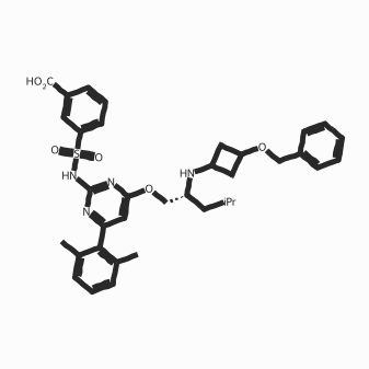 Cc1cccc(C)c1-c1cc(OC[C@@H](CC(C)C)NC2CC(OCc3ccccc3)C2)nc(NS(=O)(=O)c2cccc(C(=O)O)c2)n1